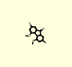 COc1cc(F)cc2c1-c1c(OC)cc(F)cc1C2=O